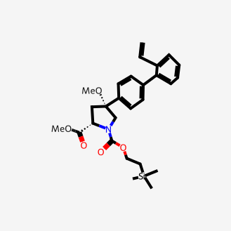 C=Cc1ccccc1-c1ccc([C@]2(OC)C[C@@H](C(=O)OC)N(C(=O)OCC[Si](C)(C)C)C2)cc1